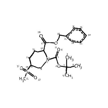 CC(C)(C)OC(=O)N1CC(S(C)(=O)=O)CCC1C(=O)OCc1ccccc1